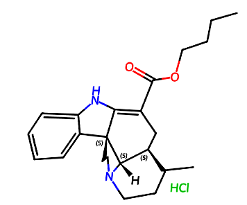 CCCCOC(=O)C1=C2Nc3ccccc3[C@]23CCN2CCC[C@@](CC)(C1)[C@H]23.Cl